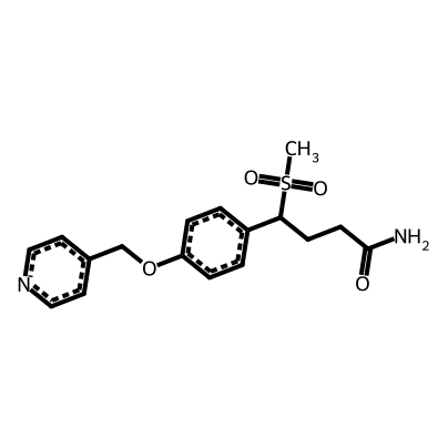 CS(=O)(=O)C(CCC(N)=O)c1ccc(OCc2ccncc2)cc1